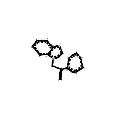 C=C(Cn1cnc2ccccc21)c1ccccc1